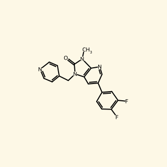 Cn1c(=O)n(Cc2ccncc2)c2cc(-c3ccc(F)c(F)c3)cnc21